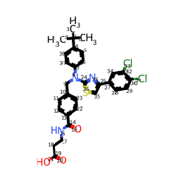 CC(C)(C)c1ccc(N(Cc2ccc(C(=O)NCCC(=O)O)cc2)c2nc(-c3ccc(Cl)c(Cl)c3)cs2)cc1